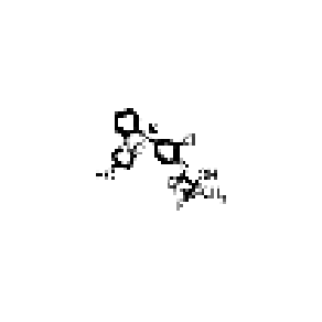 C[C@@](O)(C(=O)Nc1ccc(S(=O)(=O)c2ccccc2N2CCC(O)C2)cc1Cl)C(F)(F)F